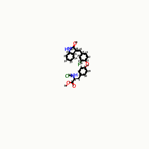 COC(=O)[C@H](Cc1ccc(Oc2ccc(/C=C3/C(=O)Nc4ccccc43)cc2F)cc1)NCl